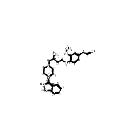 COc1cc(CC=O)ccc1OCCC(C)CN1CCN(c2snc3ccccc23)CC1